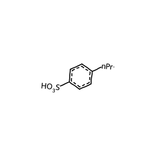 CC[CH]c1ccc(S(=O)(=O)O)cc1